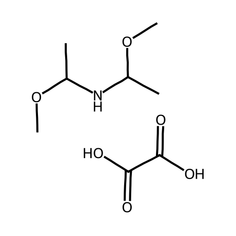 COC(C)NC(C)OC.O=C(O)C(=O)O